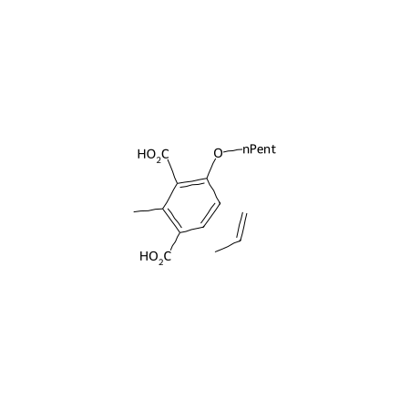 C=CC.CCCCCOc1ccc(C(=O)O)c(C)c1C(=O)O